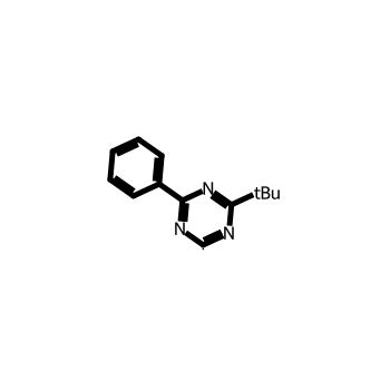 CC(C)(C)c1n[c]nc(-c2ccccc2)n1